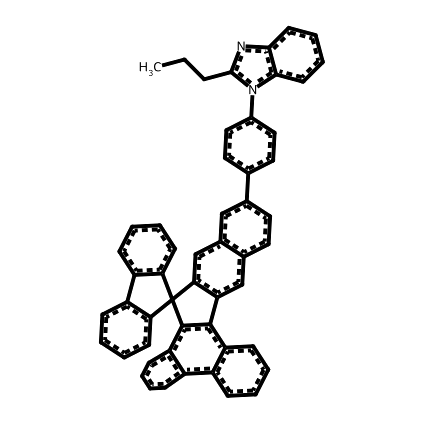 CCCc1nc2ccccc2n1-c1ccc(-c2ccc3cc4c(cc3c2)C2(c3ccccc3-c3ccccc32)c2c-4c3ccccc3c3ccccc23)cc1